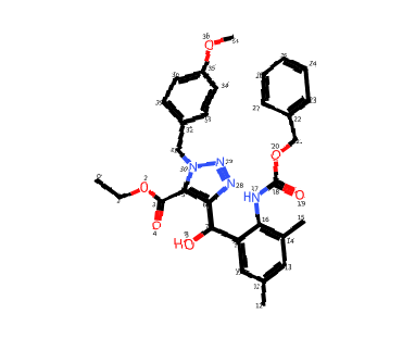 CCOC(=O)c1c(C(O)c2cc(C)cc(C)c2NC(=O)OCc2ccccc2)nnn1Cc1ccc(OC)cc1